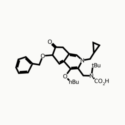 CCCCOC1=C(CN(C(=O)O)C(C)(C)C)N(CC2CC2)C=C2CC(=O)C(OCc3ccccc3)C=C21